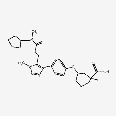 CN(C(=O)OCc1c(-c2ccc(OC3CCCC(F)(C(=O)O)C3)cn2)nnn1C)C1CCCC1